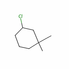 CC1(C)CCCC(Cl)C1